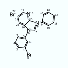 Brc1cccc(-n2c[n+](-c3ccccc3)c3ncccc32)c1.[Br-]